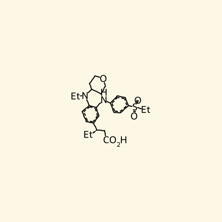 CC[C@H](CC(=O)O)c1ccc(N(CC)C2CCOCC2)c(Nc2ccc(S(=O)(=O)CC)cc2)c1